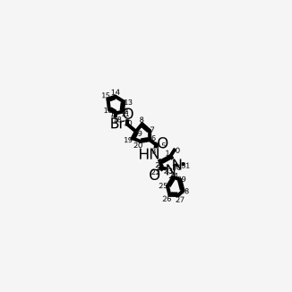 Cc1c(NC(=O)c2ccc(COc3ccccc3Br)cc2)c(=O)n(-c2ccccc2)n1C